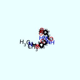 CN(C)CCCOc1ccc(C=c2[nH]c(=O)c(=Cc3ccc4c(c3)OCO4)[nH]c2=O)cc1